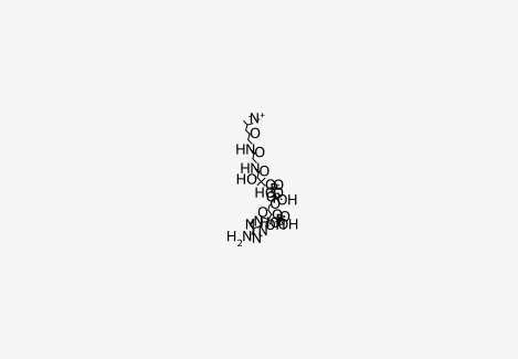 CC(CC(=O)CCNC(=O)CCNC(=O)C(O)C(C)(C)COP(=O)(O)OP(=O)(O)OCC1OC(n2cnc3c(N)ncnc32)C(O)C1OP(=O)(O)O)C[N+](C)(C)C